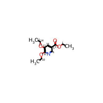 CCOC(=O)c1cnc(OCC)c(OCC)c1